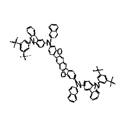 CC(C)(C)c1cc(-n2c3ccccc3c3cc(N(c4ccc5ccccc5c4)c4ccc5c(c4)oc4cc6cc7c(cc6cc45)oc4cc(N(c5ccc6ccccc6c5)c5ccc6c(c5)c5ccccc5n6-c5cc(C(C)(C)C)cc(C(C)(C)C)c5)ccc47)ccc32)cc(C(C)(C)C)c1